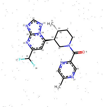 Cc1cnc(C(=O)N2CC[C@@H](C)[C@H](c3cc(C(F)F)nc4ncnn34)C2)cn1